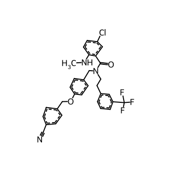 CNc1ccc(Cl)cc1C(=O)N(CCc1cccc(C(F)(F)F)c1)Cc1ccc(OCc2ccc(C#N)cc2)cc1